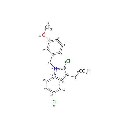 O=C(O)Cc1c(Cl)n(Cc2cccc(OC(F)(F)F)c2)c2ccc(Cl)cc12